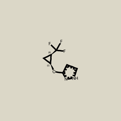 FC(F)(F)[C@@H]1C[C@@H]1Oc1cc[nH]n1